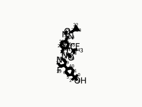 CC(C)(O)c1ccc(-c2cc(N(CC34CCC(c5noc(C6CC6)n5)(CC3)CC4)C(=O)OC(C)(C)C(F)(F)F)ncc2F)cc1